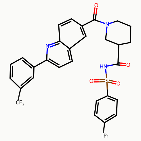 CC(C)c1ccc(S(=O)(=O)NC(=O)C2CCCN(C(=O)c3ccc4nc(-c5cccc(C(F)(F)F)c5)ccc4c3)C2)cc1